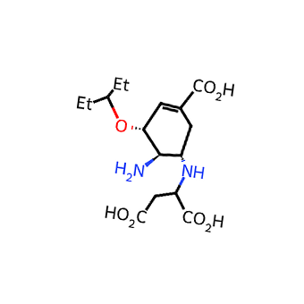 CCC(CC)O[C@@H]1C=C(C(=O)O)C[C@H](NC(CC(=O)O)C(=O)O)[C@H]1N